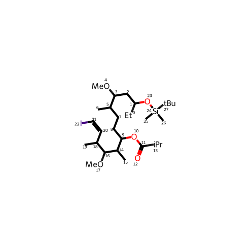 CCC(CC(OC)C(C)CCC(OC(=O)C(C)C)C(C)C(OC)C(C)C=CI)O[Si](C)(C)C(C)(C)C